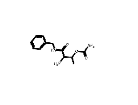 CC(OC(N)=O)C(N)C(=O)NCc1ccccc1